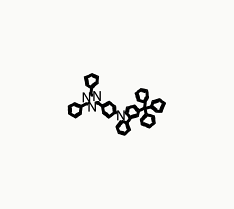 c1ccc(-c2nc(-c3ccccc3)nc(-c3ccc(-n4c5ccccc5c5cc(C(c6ccccc6)(c6ccccc6)c6ccccc6)ccc54)cc3)n2)cc1